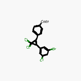 COc1ccc(C2C(c3cc(Cl)cc(Br)c3)C2(Cl)Cl)cc1